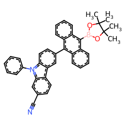 CC1(C)OB(c2c3ccccc3c(-c3ccc4c(c3)c3ccc(C#N)cc3n4-c3ccccc3)c3ccccc23)OC1(C)C